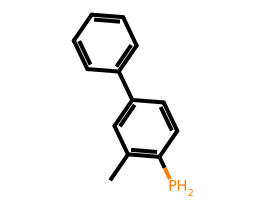 Cc1cc(-c2ccccc2)ccc1P